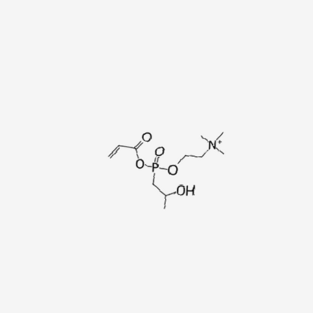 C=CC(=O)OP(=O)(CC(C)O)OCC[N+](C)(C)C